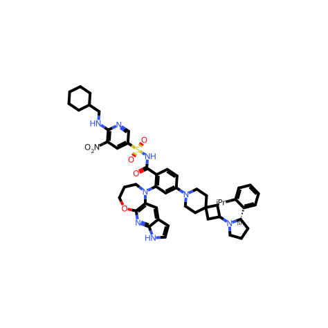 CC(C)c1ccccc1[C@@H]1CCCN1C1CC2(CCN(c3ccc(C(=O)NS(=O)(=O)c4cnc(NCC5CCCCC5)c([N+](=O)[O-])c4)c(N4CCCOc5nc6[nH]ccc6cc54)c3)CC2)C1